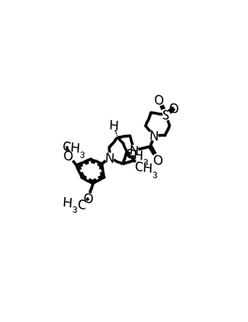 COc1cc(OC)cc(N2C[C@H]3CN(C(=O)N4CCS(=O)(=O)CC4)CC2C(C)(C)C3)c1